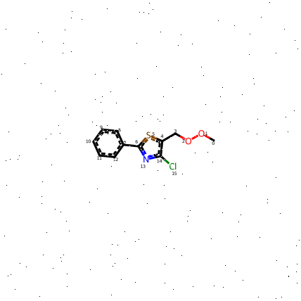 COOCc1sc(-c2ccccc2)nc1Cl